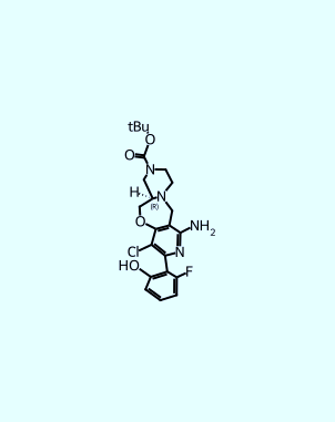 CC(C)(C)OC(=O)N1CCN2Cc3c(N)nc(-c4c(O)cccc4F)c(Cl)c3OC[C@H]2C1